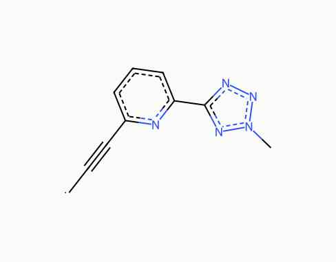 [CH2]C#Cc1cccc(-c2nnn(C)n2)n1